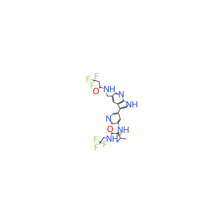 CC(C)[C@H](Nc1cncc(-c2c[nH]c3ncc(CNC(=O)CC(F)(F)F)cc23)c1)C(=O)NCC(F)(F)F